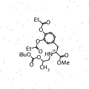 CCC(=O)Oc1ccc(C[C@H](NCC(C)OC(=O)OCC(C)C)C(=O)OC)cc1OC(=O)CC